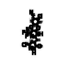 N#Cc1cc(Oc2c(C(F)(F)F)nc(Cc3cc(Cl)n[nH]c3=O)[nH]c2=O)ccc1Cl